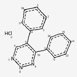 Cl.c1ccc(-c2cnnnc2-c2ccccc2)cc1